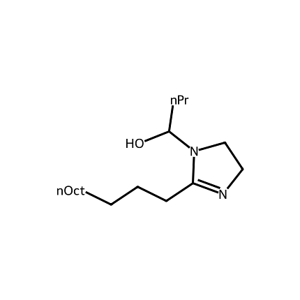 CCCCCCCCCCCC1=NCCN1C(O)CCC